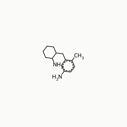 Cc1ccc(N)cc1CC1CCCCC1N